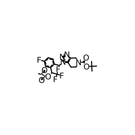 CC(C)(C)OC(=O)N1CCc2c(nnn2Cc2ccc(F)cc2C(OS(C)(=O)=O)C(F)(F)F)C1